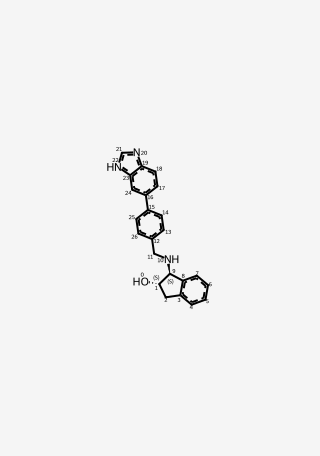 O[C@H]1Cc2ccccc2[C@@H]1NCc1ccc(-c2ccc3nc[nH]c3c2)cc1